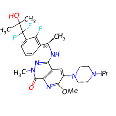 COc1nc2c(=O)n(C)nc(N[C@H](C)c3cccc(C(F)(F)C(C)(C)O)c3F)c2cc1N1CCN(C(C)C)CC1